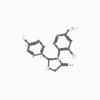 CCc1cc(C(=O)O)ccc1N1C(=O)CSC1c1ccc(F)cc1